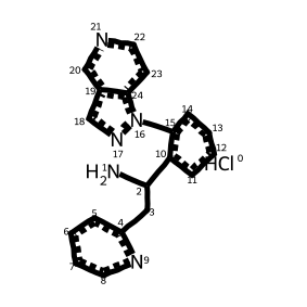 Cl.NC(Cc1ccccn1)c1ccccc1-n1ncc2cnccc21